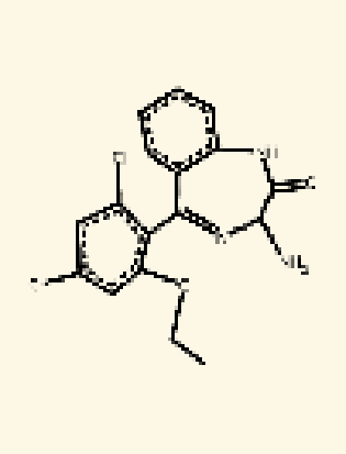 CCOc1cc(Cl)cc(Cl)c1C1=NC(N)C(=O)Nc2ccccc21